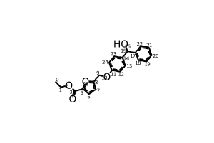 CCOC(=O)c1ccc(COc2ccc(C(O)c3ccccc3)cc2)o1